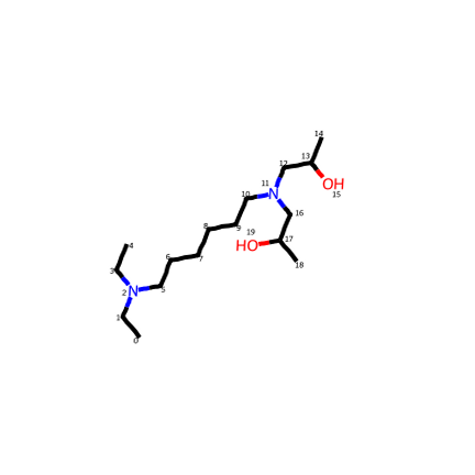 CCN(CC)CCCCCCN(CC(C)O)CC(C)O